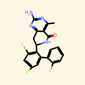 Cc1nc(N)nc2c1C(=O)NC(c1c(F)cc(F)cc1-c1ccccc1F)C2